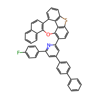 Fc1ccc(-c2cc(-c3ccc(-c4ccccc4)cc3)cc(-c3ccc4sc5cccc6c7ccc8ccccc8c7oc3c4c56)n2)cc1